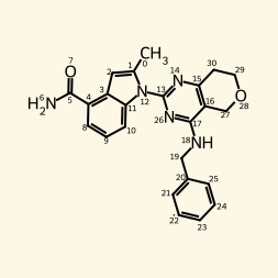 Cc1cc2c(C(N)=O)cccc2n1-c1nc2c(c(NCc3c[c]ccc3)n1)COCC2